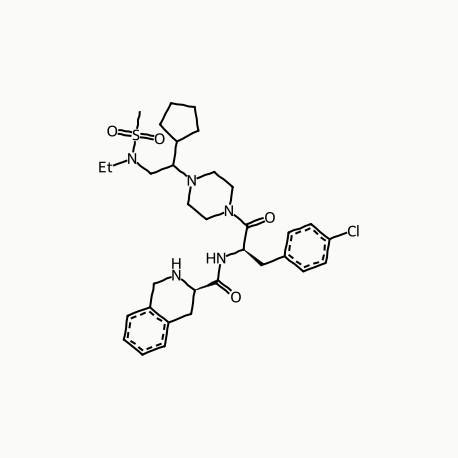 CCN(CC(C1CCCC1)N1CCN(C(=O)[C@@H](Cc2ccc(Cl)cc2)NC(=O)[C@H]2Cc3ccccc3CN2)CC1)S(C)(=O)=O